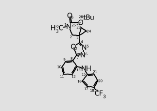 CN(CC1(c2nnc(-c3ccccc3Nc3ccc(C(F)(F)F)cc3)o2)CC1)C(=O)OC(C)(C)C